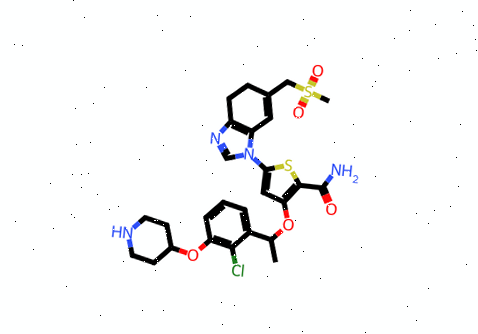 CC(Oc1cc(-n2cnc3c2C=C(CS(C)(=O)=O)CC3)sc1C(N)=O)c1cccc(OC2CCNCC2)c1Cl